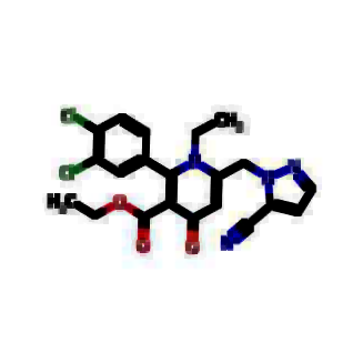 CCOC(=O)c1c(-c2ccc(Cl)c(Cl)c2)n(CC)c(Cn2nccc2C#N)cc1=O